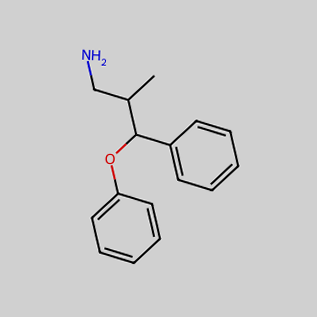 CC(CN)C(Oc1ccccc1)c1ccccc1